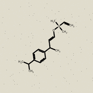 C=C[Si](C)(C)OC=CC(C)c1ccc(C(C)C)cc1